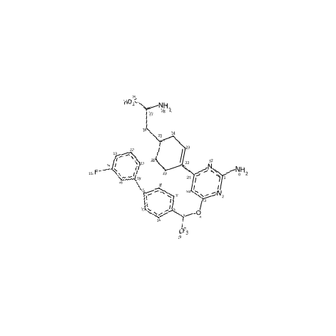 Nc1nc(OC(c2ccc(-c3cccc(F)c3)cc2)C(F)(F)F)cc(C2=CCC(CC(N)C(=O)O)CC2)n1